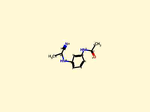 CC(=O)Nc1cccc(NC(C)C#N)c1